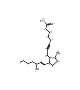 CCCCC(O)C=CC1CCC(O)C1CC#CCCCCC(=O)O